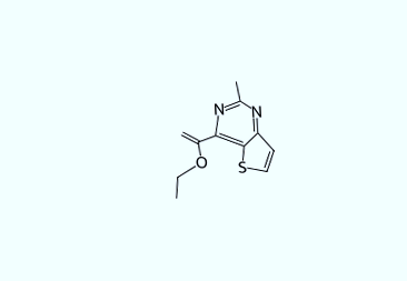 C=C(OCC)c1nc(C)nc2ccsc12